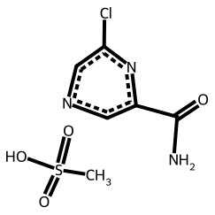 CS(=O)(=O)O.NC(=O)c1cncc(Cl)n1